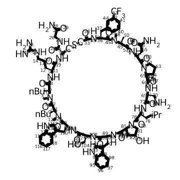 CCCC[C@H]1C(=O)N(C)[C@@H](CCCC)C(=O)N[C@@H](CCCNC(=N)N)C(=O)N[C@H](C(=O)NCC(N)=O)CSCC(=O)N[C@@H](Cc2cccc(C(F)(F)F)c2)C(=O)N(C)[C@@H](C)C(=O)N[C@@H](CC(N)=O)C(=O)N2CCC[C@H]2C(=O)N[C@@H](CN)C(=O)N[C@@H](CC(C)C)C(=O)N2C[C@H](O)C[C@H]2C(=O)N[C@@H](Cc2c[nH]c3ccccc23)C(=O)N[C@@H](CO)C(=O)N[C@@H](Cc2c[nH]c3ccccc23)C(=O)N1C